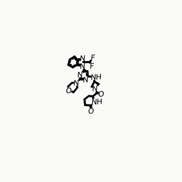 O=C1CCCC(C(=O)N2CC(Nc3cc(-n4c(C(F)F)nc5ccccc54)nc(N4CCOCC4)n3)C2)N1